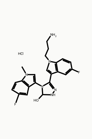 Cl.Cn1cc(N2C(c3cn(CCCN)c4ccc(F)cc34)=NNC2O)c2cc(F)ccc21